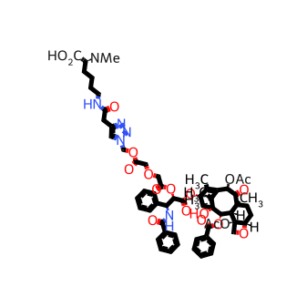 CN[C@H](CCCCNC(=O)Cc1cn(COC(=O)COCC(=O)O[C@@H](C(=O)O[C@H]2C[C@@]3(O)[C@@H](OC(=O)c4ccccc4)[C@@H]4[C@]5(OC(C)=O)CO[C@@H]5CC[C@@]4(C)C(=O)[C@H](OC(C)=O)C(=C2C)C3(C)C)[C@@H](NC(=O)c2ccccc2)c2ccccc2)nn1)C(=O)O